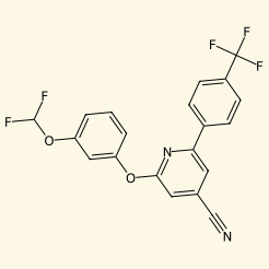 N#Cc1cc(Oc2cccc(OC(F)F)c2)nc(-c2ccc(C(F)(F)F)cc2)c1